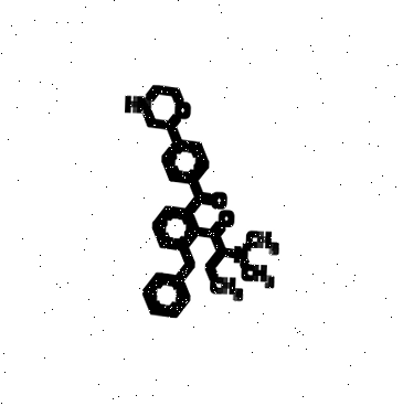 CCC(C(=O)c1c(Cc2ccccc2)cccc1C(=O)c1ccc(C2CNCCO2)cc1)N(C)C